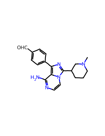 CN1CCCC(c2nc(-c3ccc(C=O)cc3)c3c(N)nccn23)C1